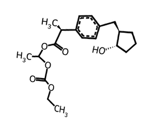 CCOC(=O)OC(C)OC(=O)[C@@H](C)c1ccc(C[C@H]2CCC[C@@H]2O)cc1